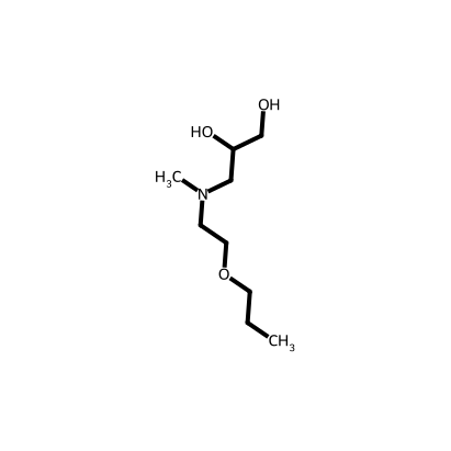 CCCOCCN(C)CC(O)CO